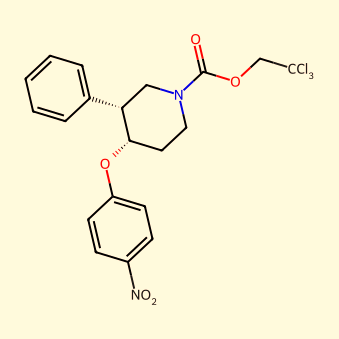 O=C(OCC(Cl)(Cl)Cl)N1CC[C@H](Oc2ccc([N+](=O)[O-])cc2)[C@H](c2ccccc2)C1